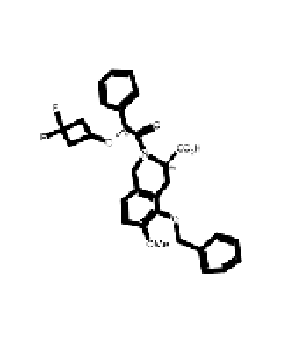 COc1ccc2c(c1OCc1ccccc1)C[C@H](C(=O)O)N(C(=O)[C@H](OC1CC(F)(F)C1)c1ccccc1)C2